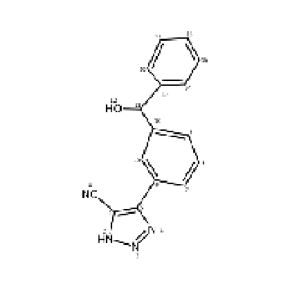 N#Cc1[nH]nnc1-c1cccc(C(O)c2ccccc2)c1